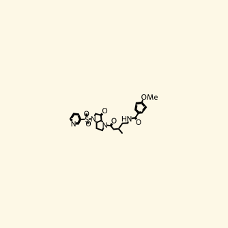 COc1ccc(C(=O)NCCC(C)CC(=O)N2CCC3C2C(=O)CN3S(=O)(=O)c2cccnc2)cc1